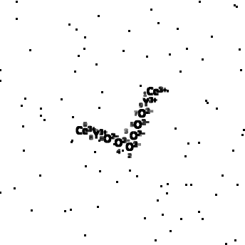 [Ce+3].[Ce+3].[O-2].[O-2].[O-2].[O-2].[O-2].[O-2].[Y+3].[Y+3]